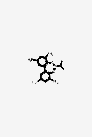 CC(C)p1oc2c(P)cc(P)cc2c2cc(P)cc(P)c2o1